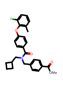 COC(=O)c1ccc(CN(CC2CCC2)C(=O)c2ccc(Oc3c(C)cccc3F)cc2)cc1